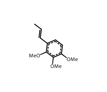 C/C=C/c1ccc(OC)c(OC)c1OC